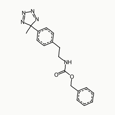 CC1(c2ccc(CCNC(=O)OCc3ccccc3)cc2)N=NN=N1